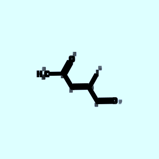 CC(=O)C=C(I)C=O